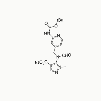 CCOC(=O)c1cnn(C)c1N(C=O)Cc1ccnc(NC(=O)OC(C)(C)C)c1